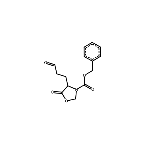 O=CCCC1C(=O)OCN1C(=O)OCc1ccccc1